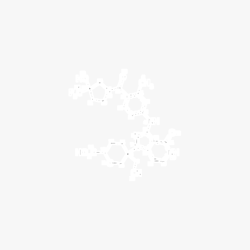 Cc1cc(Nc2nn(C3(CC#N)CCC(C(=O)O)OC3)c3cc[nH]c(=O)c23)ccc1C(=O)N1CCC(O)(C(F)(F)F)C1